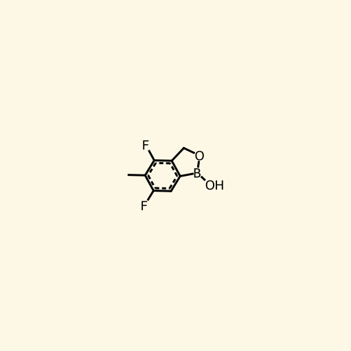 Cc1c(F)cc2c(c1F)COB2O